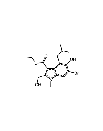 CCOC(=O)c1c(CO)n(C)c2cc(Br)c(O)c(CN(C)C)c12